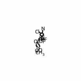 COC(=O)N1CCN(C(=O)[C@@H]2CN(c3ccc(C#N)c(Cl)c3)[C@@H](C(F)(F)F)O2)CC1